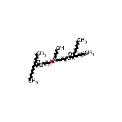 CCCCCCCCC(CCCCCC)CC(=O)OCCCCCCN(CCCCCO)CCCCCCOC(=O)CC(CCCCCC)CCCCCCCC